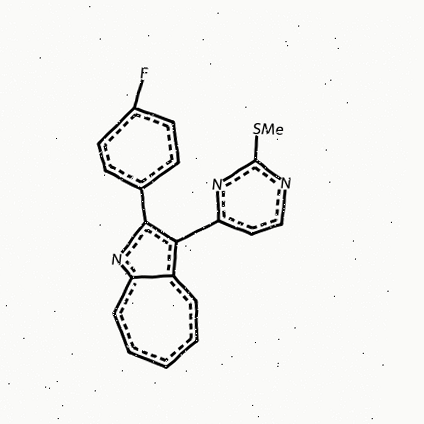 CSc1nccc(-c2c3cccccc-3nc2-c2ccc(F)cc2)n1